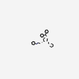 Cc1ccc(/C=C/C(=O)NC[C@@H]2CCN(CC(c3ccccc3)c3ccccc3)C(=O)[C@H](CCN3CCCCC3)N2)c(C)c1